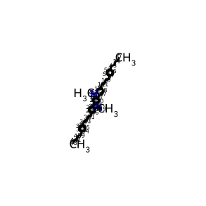 CCCCCc1ccc(/C=C/C=C/C2=CC3C(C=C2)c2cc4c(cc2N3C)c2ccc(/C=C/C=C/c3ccc(CCCCC)cc3)cc2n4C)cc1